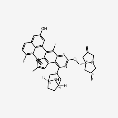 C#Cc1c(F)ccc2cc(O)cc(-c3c(F)c4nc(OC[C@]56CC(=C)CN5C[C@@H](F)C6)nc(N5C[C@H]6CC[C@@H](C5)N6)c4c4cc(C)oc34)c12